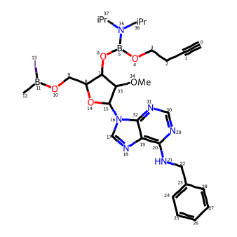 C#CCCOB(OC1C(COB(C)I)OC(n2cnc3c(NCc4ccccc4)ncnc32)C1OC)N(C(C)C)C(C)C